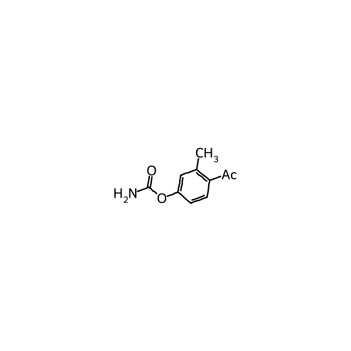 CC(=O)c1ccc(OC(N)=O)cc1C